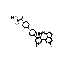 CC(C(=O)O)[C@H]1CC[C@@H](N2CC=C(C3=C4NN=C5C=Cc6cc(F)cc(c65)C4=CN(C)C3)CC2)CC1